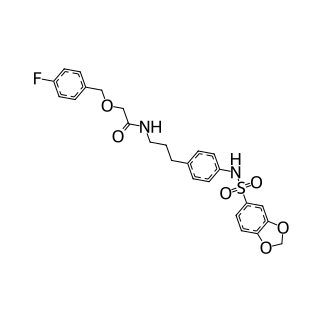 O=C(COCc1ccc(F)cc1)NCCCc1ccc(NS(=O)(=O)c2ccc3c(c2)OCO3)cc1